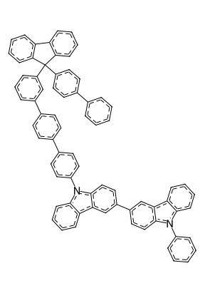 c1ccc(-c2ccc(C3(c4cccc(-c5ccc(-c6ccc(-n7c8ccccc8c8cc(-c9ccc%10c(c9)c9ccccc9n%10-c9ccccc9)ccc87)cc6)cc5)c4)c4ccccc4-c4ccccc43)cc2)cc1